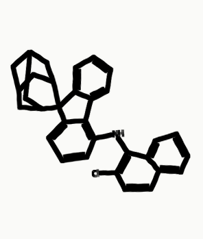 Clc1ccc2ccccc2c1Nc1cccc2c1-c1ccccc1C21C2CC3CC(C2)CC1C3